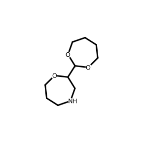 C1CCO[C](C2CNCCCO2)OC1